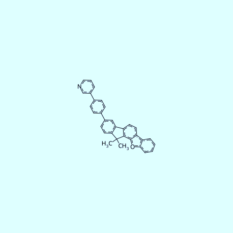 CC1(C)c2ccc(-c3ccc(-c4cccnc4)cc3)cc2-c2ccc3c(oc4ccccc43)c21